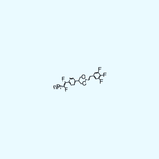 CCC/C(F)=C(\F)c1ccc(C2COC(/C=C/c3cc(F)c(F)c(F)c3)OC2)cc1